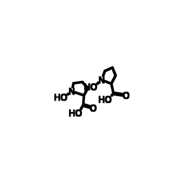 O=C(O)C1CCCN1O.O=C(O)C1CCCN1O